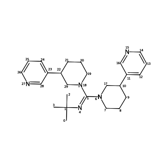 CC(C)(C)N=C(N1CCCC(c2cccnc2)C1)N1CCCC(c2cccnc2)C1